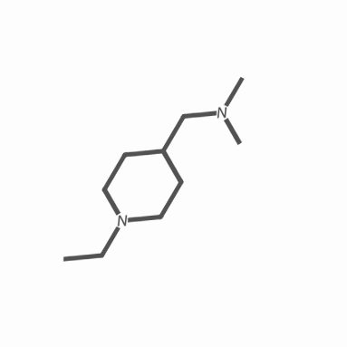 CCN1CCC(CN(C)C)CC1